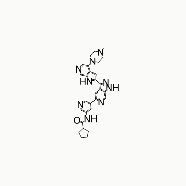 CN1CCN(c2cncc3[nH]c(-c4n[nH]c5cnc(-c6cncc(NC(=O)C7CCCC7)c6)cc45)cc23)CC1